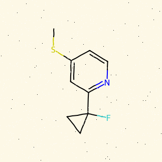 CSc1ccnc(C2(F)CC2)c1